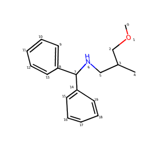 COCC(C)CNC(c1ccccc1)c1ccccc1